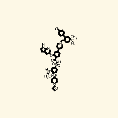 CN(c1ccc(S(=O)(=O)NC(=O)c2ccc(C3=CCN(CC4=C(c5ccc(Cl)cc5)CC(C)(C)CC4)CC3)cc2Oc2cnc3[nH]ccc3c2)cc1[N+](=O)[O-])C1(F)CCN(C2CCO2)CC1